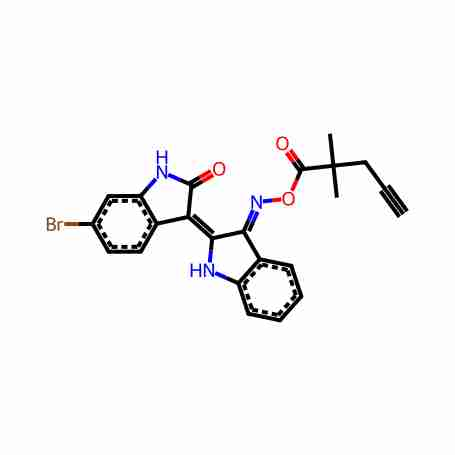 C#CCC(C)(C)C(=O)ON=C1C(=C2C(=O)Nc3cc(Br)ccc32)Nc2ccccc21